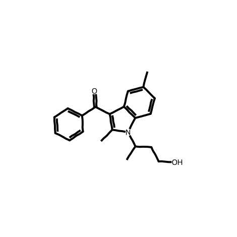 Cc1ccc2c(c1)c(C(=O)c1ccccc1)c(C)n2C(C)CCO